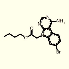 CCCCOC(=O)Cn1c2cc(Br)ccc2c2c(N)ncnc21